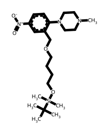 CN1CCN(c2ccc([N+](=O)[O-])cc2COCCCCO[Si](C)(C)C(C)(C)C)CC1